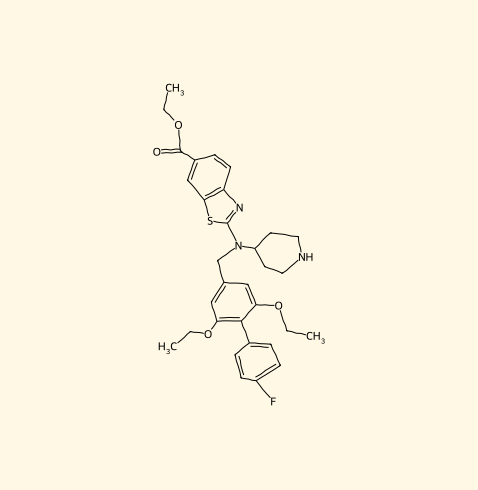 CCOC(=O)c1ccc2nc(N(Cc3cc(OCC)c(-c4ccc(F)cc4)c(OCC)c3)C3CCNCC3)sc2c1